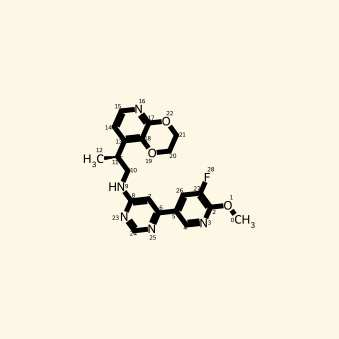 COc1ncc(-c2cc(NC[C@@H](C)c3ccnc4c3OCCO4)ncn2)cc1F